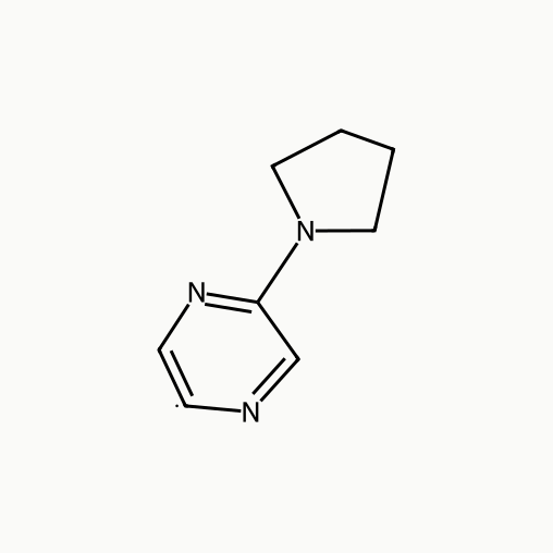 [c]1cnc(N2CCCC2)cn1